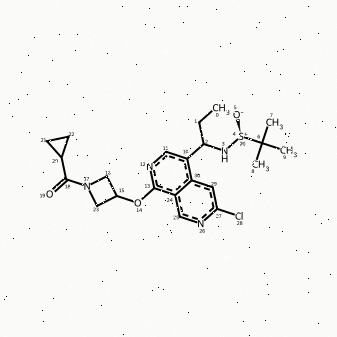 CCC(N[S@@+]([O-])C(C)(C)C)c1cnc(OC2CN(C(=O)C3CC3)C2)c2cnc(Cl)cc12